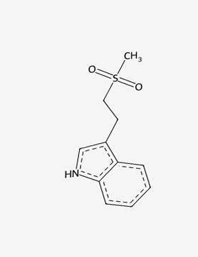 CS(=O)(=O)CCc1c[nH]c2ccccc12